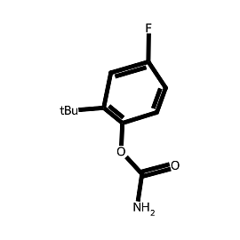 CC(C)(C)c1cc(F)ccc1OC(N)=O